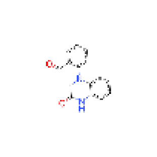 O=Cc1ccccc1N1CC(=O)Nc2ccccc21